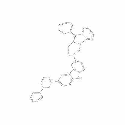 C1=CC2C(C=C1c1ccc3[nH]c4ccc(-c5cccc(-c6ccccc6)c5)cc4c3c1)c1ccccc1N2c1ccccc1